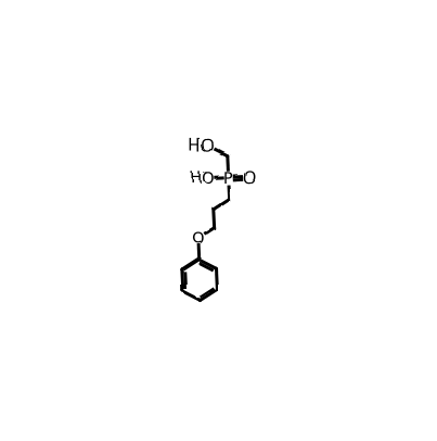 O=P(O)(CO)CCCOc1ccccc1